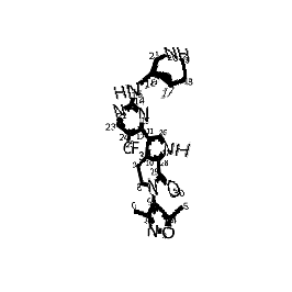 Cc1noc(C)c1N1CCc2c(-c3nc(NC4CCCNC4)ncc3C(F)(F)F)c[nH]c2C1=O